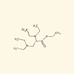 CCOC(=O)C(CN(CC)CC)N(CC)CC